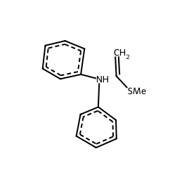 C=CSC.c1ccc(Nc2ccccc2)cc1